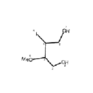 COC(CO)C(I)CO